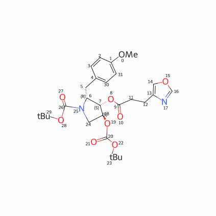 COc1ccc(C[C@@H]2[C@H](OC(=O)CCc3cocn3)[C@@H](OC(=O)OC(C)(C)C)CN2C(=O)OC(C)(C)C)cc1